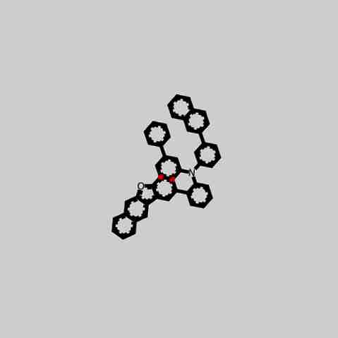 c1ccc(-c2cccc(N(c3cccc(-c4ccc5ccccc5c4)c3)c3ccccc3-c3ccc4oc5cc6ccccc6cc5c4c3)c2)cc1